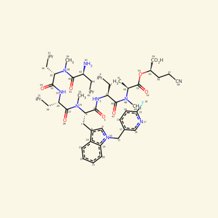 CC(C)C[C@H](NC(=O)[C@H](Cc1cn(Cc2ccc(F)nc2)c2ccccc12)N(C)C(=O)[C@H](CC(C)C)NC(=O)[C@H](CC(C)C)N(C)C(=O)[C@@H](N)CC(C)C)C(=O)N(C)[C@@H](C)C(=O)O[C@H](CCC#N)C(=O)O